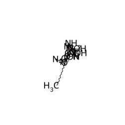 CCCCCCCCCCCCCCOC[C@H](COP(=O)(O)OC[C@@]1(C#N)O[C@@H](c2ccc3c(N)ncnn23)[C@H](O)[C@@H]1O)Oc1cc(C#N)ccn1